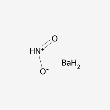 O=[NH+][O-].[BaH2]